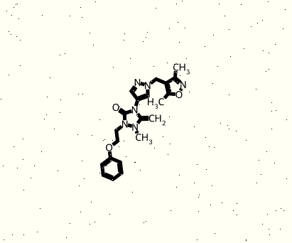 C=C1N(c2cnn(Cc3c(C)noc3C)c2)C(=O)N(CCOc2ccccc2)N1C